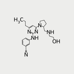 CCCc1cc(N2CCCC2CNCCO)nc(Nc2cccc(C#N)c2)n1